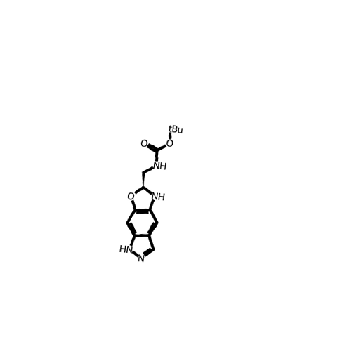 CC(C)(C)OC(=O)NC[C@H]1Nc2cc3cn[nH]c3cc2O1